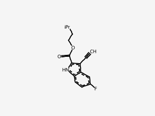 C#Cc1c(C(=O)OCCC(C)C)[nH]c2ccc(F)cc12